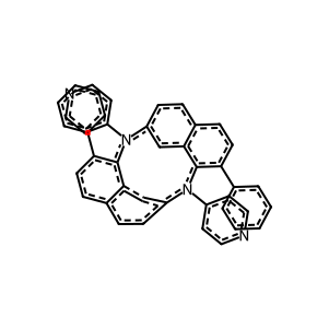 c1ccc(-c2ccc3ccc4cc3c2n(-c2ccncc2)c2ccc3ccc(-c5ccccc5)c(c3c2)n4-c2ccncc2)cc1